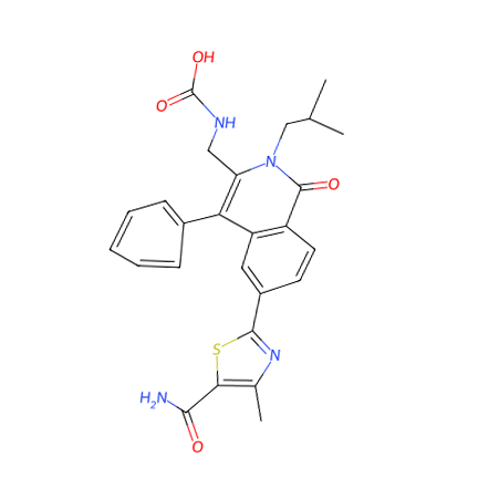 Cc1nc(-c2ccc3c(=O)n(CC(C)C)c(CNC(=O)O)c(-c4ccccc4)c3c2)sc1C(N)=O